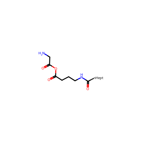 CCCCCCCC(=O)NCCCC(=O)OC(=O)CN